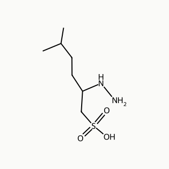 CC(C)CCC(CS(=O)(=O)O)NN